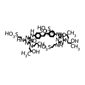 CC(O)CN(CC(C)O)c1nc(NCCS(=O)(=O)O)nc(Nc2ccc(/C=C/c3ccc(Nc4nc(NCCS(=O)(=O)O)nc(N(CC(C)O)CC(C)O)n4)cc3S(=O)(=O)O)c(S(=O)(=O)O)c2)n1